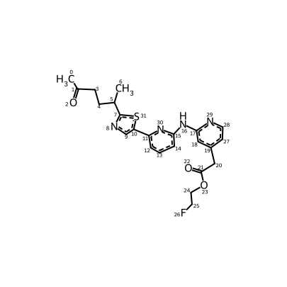 CC(=O)CCC(C)c1ncc(-c2cccc(Nc3cc(CC(=O)OCCF)ccn3)n2)s1